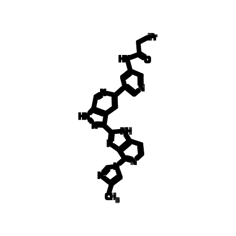 Cc1cn(-c2nccc3[nH]c(-c4n[nH]c5cnc(-c6cncc(NC(=O)CC(C)C)c6)cc45)nc23)cn1